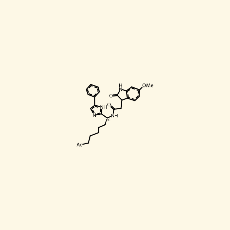 COc1ccc2c(c1)NC(=O)C2CC(=O)N[C@@H](CCCCCC(C)=O)c1ncc(-c2ccccc2)[nH]1